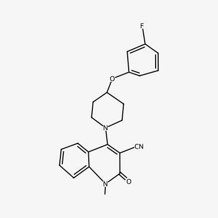 Cn1c(=O)c(C#N)c(N2CCC(Oc3cccc(F)c3)CC2)c2ccccc21